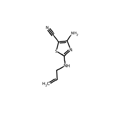 C=CCNc1nc(N)c(C#N)s1